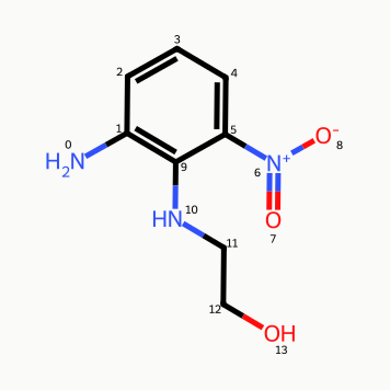 Nc1cccc([N+](=O)[O-])c1NCCO